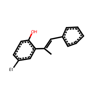 CCc1ccc(O)c(C(C)=Cc2ccccc2)c1